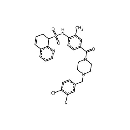 Cc1cc(C(=O)N2CCN(Cc3ccc(Cl)c(Cl)c3)CC2)ccc1NS(=O)(=O)C1CC=Cc2cccnc21